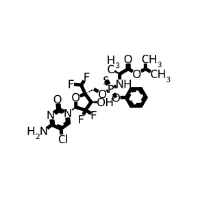 CC(C)OC(=O)[C@H](C)NP(=S)(OC[C@@]1(C(F)F)O[C@@H](n2cc(Cl)c(N)nc2=O)C(F)(F)[C@@H]1O)Oc1ccccc1